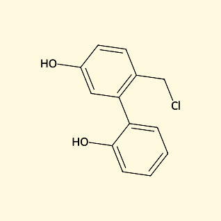 Oc1ccc(CCl)c(-c2ccccc2O)c1